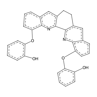 Oc1ccccc1Oc1cccc2cc3c(nc12)-c1nc2c(Oc4ccccc4O)cccc2cc1CC3